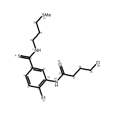 CCc1ccc(C(=S)NCCCSC)cc1NC(=O)CCCCl